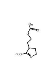 CCCCCCCCC1=NCCN1CCOC(=O)C(C)(C)C